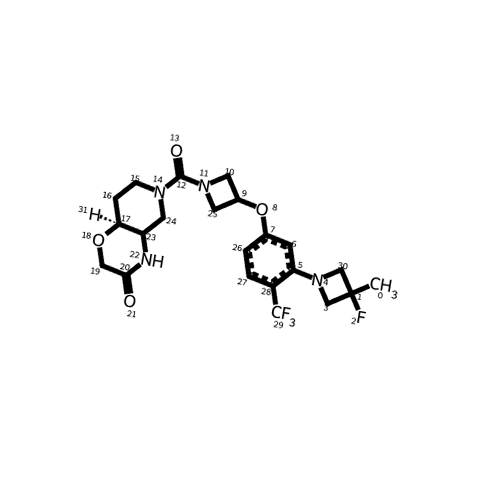 CC1(F)CN(c2cc(OC3CN(C(=O)N4CC[C@@H]5OCC(=O)NC5C4)C3)ccc2C(F)(F)F)C1